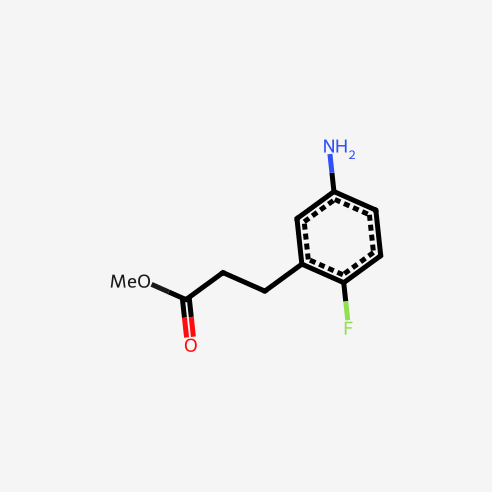 COC(=O)CCc1cc(N)ccc1F